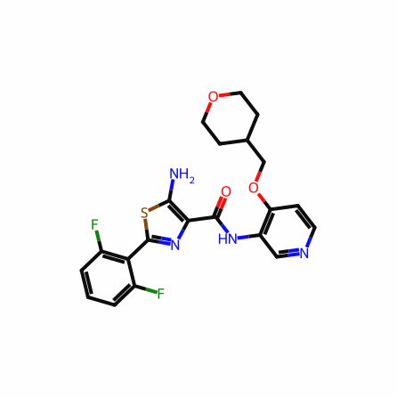 Nc1sc(-c2c(F)cccc2F)nc1C(=O)Nc1cnccc1OCC1CCOCC1